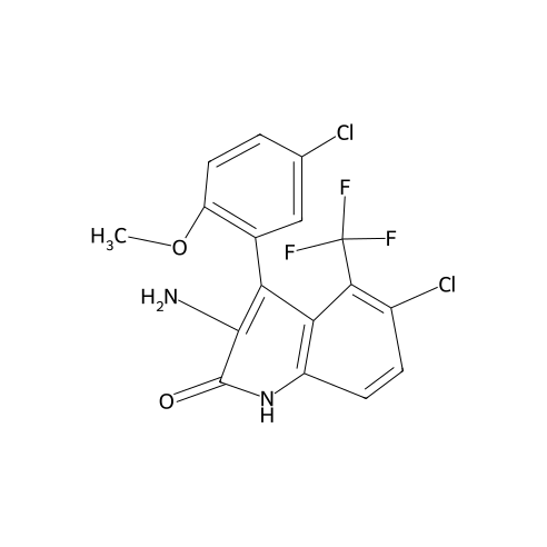 COc1ccc(Cl)cc1-c1c(N)c(=O)[nH]c2ccc(Cl)c(C(F)(F)F)c12